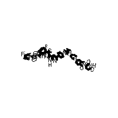 O=C1CCC(N2Cc3cc(N4CCC(N5CCC56CN(c5ccc(-c7cnc8[nH]cc(C(=O)c9c(F)ccc(NS(=O)(=O)N%10CC[C@@H](F)C%10)c9F)c8c7)cc5)C6)CC4)ccc3C2=O)C(=O)N1